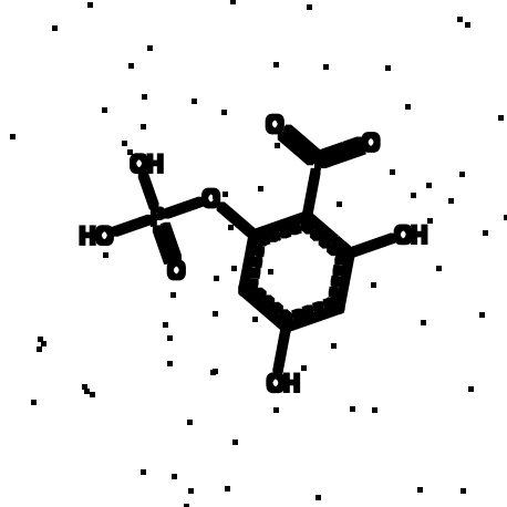 O=I(=O)c1c(O)cc(O)cc1OP(=O)(O)O